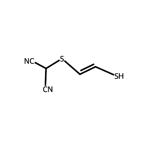 N#CC(C#N)SC=CS